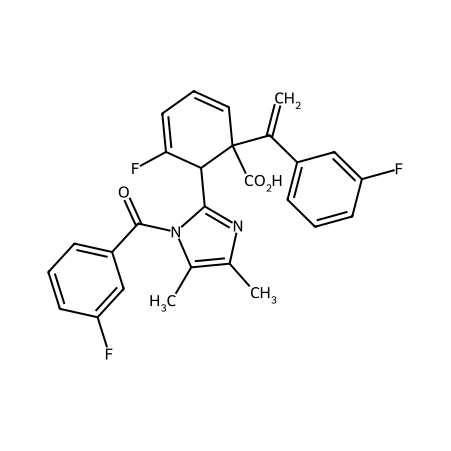 C=C(c1cccc(F)c1)C1(C(=O)O)C=CC=C(F)C1c1nc(C)c(C)n1C(=O)c1cccc(F)c1